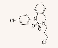 O=S1(=O)N(CCCCl)Cc2ccccc2N1c1ccc(Cl)cc1